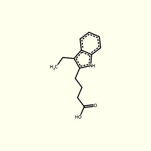 CCc1c(CCCC(=O)O)[nH]c2ccccc12